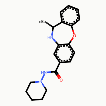 CCCCC1Nc2cc(C(=O)NN3CCCCC3)ccc2Oc2ccccc21